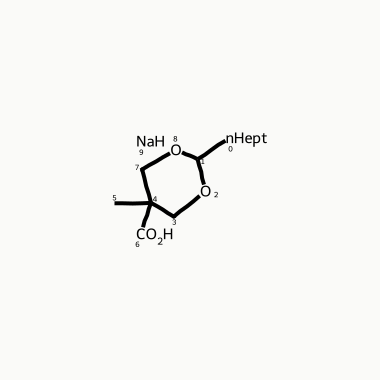 CCCCCCCC1OCC(C)(C(=O)O)CO1.[NaH]